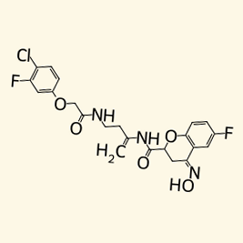 C=C(CCNC(=O)COc1ccc(Cl)c(F)c1)NC(=O)C1C/C(=N\O)c2cc(F)ccc2O1